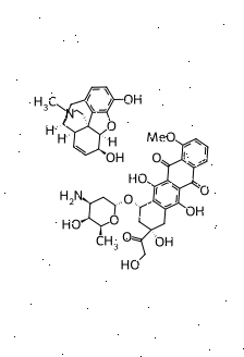 CN1CC[C@]23c4c5ccc(O)c4O[C@H]2[C@@H](O)C=C[C@H]3[C@H]1C5.COc1cccc2c1C(=O)c1c(O)c3c(c(O)c1C2=O)C[C@@](O)(C(=O)CO)C[C@@H]3O[C@H]1C[C@H](N)[C@H](O)[C@H](C)O1